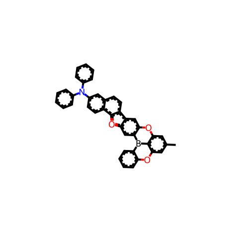 Cc1cc2c3c(c1)Oc1cc4c(cc1B3c1ccccc1O2)oc1c2ccc(N(c3ccccc3)c3ccccc3)cc2ccc41